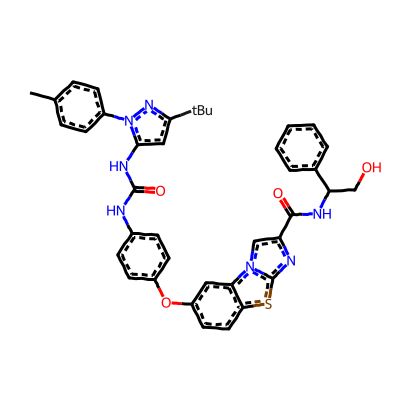 Cc1ccc(-n2nc(C(C)(C)C)cc2NC(=O)Nc2ccc(Oc3ccc4sc5nc(C(=O)NC(CO)c6ccccc6)cn5c4c3)cc2)cc1